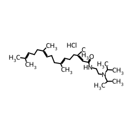 CC(C)=CCCC(C)=CCCC(C)=CCCC(C)=CC(=O)NCCN(C(C)C)C(C)C.Cl